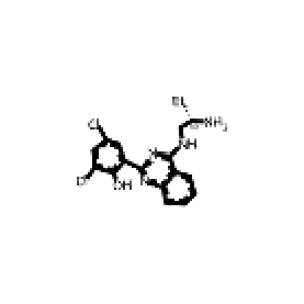 CC[C@H](N)CNc1nc(-c2cc(Cl)cc(Cl)c2O)nc2ccccc12